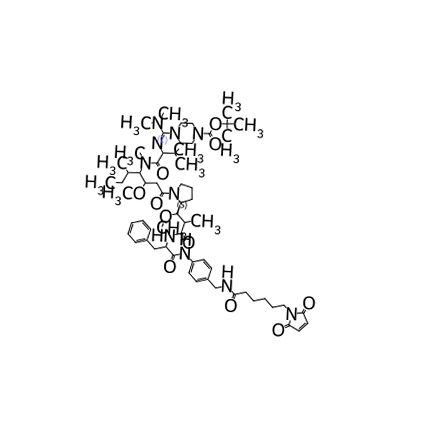 CCC(C)C(C(CC(=O)N1CCC[C@H]1C(OC)C(C)C(=O)NC(Cc1ccccc1)C(=O)Nc1ccc(CNC(=O)CCCCCN2C(=O)C=CC2=O)cc1)OC)N(C)C(=O)C(/N=C(/N(C)C)N1CCN(C(=O)OC(C)(C)C)CC1)C(C)C